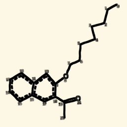 CCCCCCCCOc1cc2ccccc2cc1C(C)=O